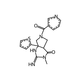 CN1C(=N)NC2(c3cccs3)CN(C(=O)c3cccnc3)CC2C1=O